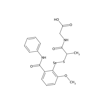 COc1cccc(C(=O)Nc2ccccc2)c1[Se]SC(C)C(=O)NCC(=O)O